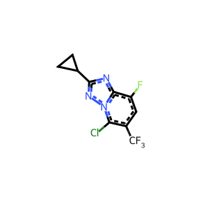 Fc1cc(C(F)(F)F)c(Cl)n2nc(C3CC3)nc12